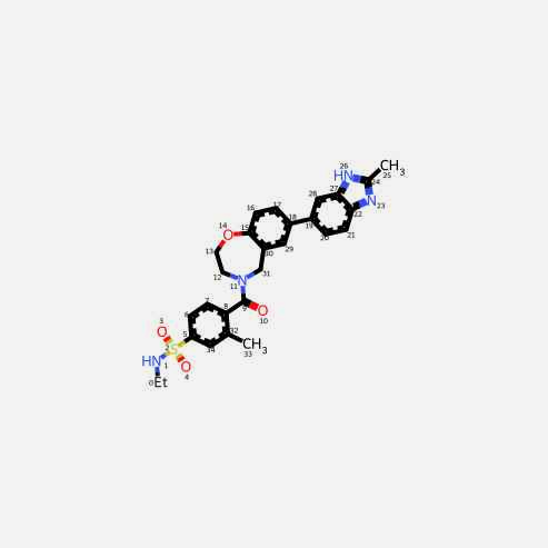 CCNS(=O)(=O)c1ccc(C(=O)N2CCOc3ccc(-c4ccc5nc(C)[nH]c5c4)cc3C2)c(C)c1